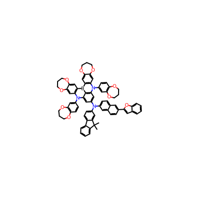 CC1(C)c2ccccc2-c2ccc(N(c3cc4c5c(c3)N(c3ccc6c(c3)OCCCO6)c3cc6c(cc3B5c3cc5c(cc3N4c3ccc4c(c3)OCCCO4)OCCCO5)OCCCO6)c3ccc4cc(-c5cc6ccccc6o5)ccc4c3)cc21